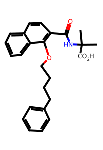 CC(C)(NC(=O)c1ccc2ccccc2c1OCCCCc1ccccc1)C(=O)O